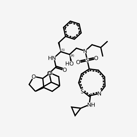 CC(C)CN(C[C@@H](O)[C@H](Cc1ccccc1)NC(=O)OC1C2COC3OCC1C3C2)S(=O)(=O)c1cccnc(NC2CC2)scc1